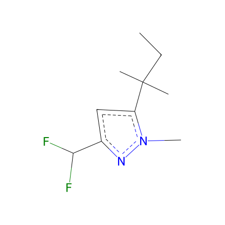 CCC(C)(C)c1cc(C(F)F)nn1C